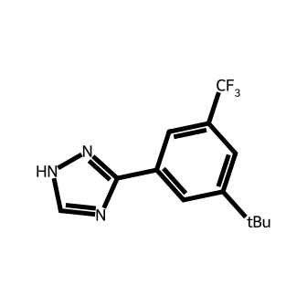 CC(C)(C)c1cc(-c2nc[nH]n2)cc(C(F)(F)F)c1